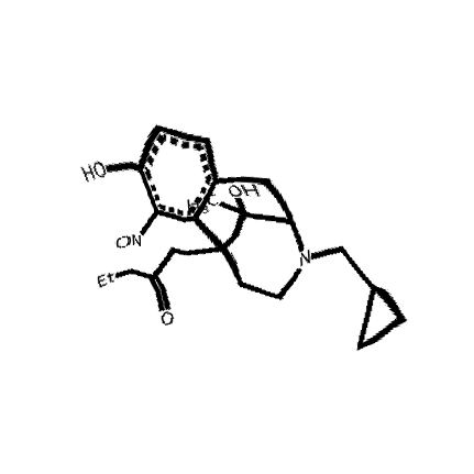 CCC(=O)CC12CCN(CC3CC3)C(Cc3ccc(O)c(N=O)c31)C2(C)O